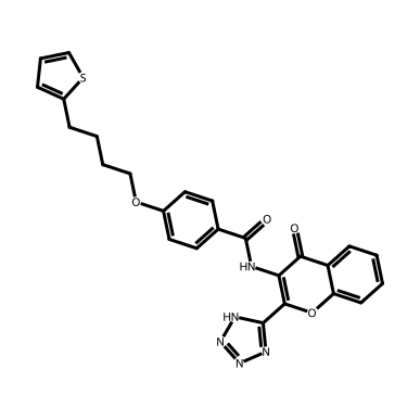 O=C(Nc1c(-c2nnn[nH]2)oc2ccccc2c1=O)c1ccc(OCCCCc2cccs2)cc1